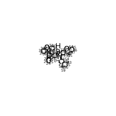 Cc1cc2c(cc1N1c3cc4c(cc3Bc3c1cc1c(oc5ccccc51)c3-c1cccc3c1Nc1ccccc1O3)Oc1ccccc1C4(C)C)C(C)(C)CCC2(C)C